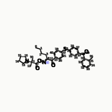 CCCC/C(=N\OC(=O)C(C)(C)N1CCCC1)C(=O)c1ccc(Sc2ccc(C(=O)c3ccccc3C)cc2)cc1